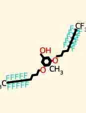 Cc1c(OCCCCC(F)(F)C(F)(F)C(F)(F)C(F)(F)C(F)(F)C(F)(F)F)cc(CO)cc1OCCCCC(F)(F)C(F)(F)C(F)(F)C(F)(F)C(F)(F)C(F)(F)F